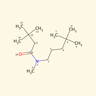 CN(CCCC(C)(C)C)C(=O)CC(C)(C)C